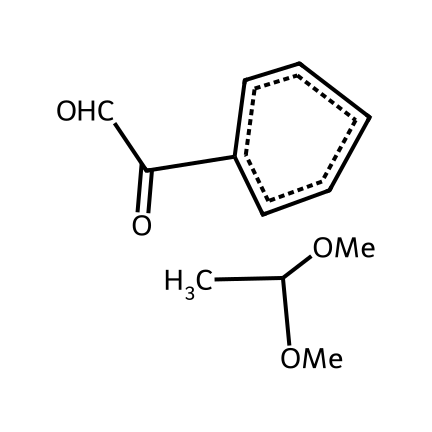 COC(C)OC.O=CC(=O)c1ccccc1